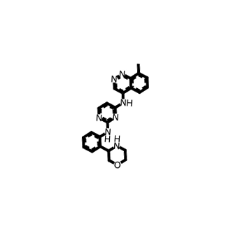 Cc1cccc2c(Nc3ccnc(Nc4ccccc4C4COCCN4)n3)cnnc12